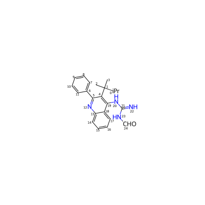 CC(C)C(C)(C)c1c(-c2ccccc2)nc2ccccc2c1NC(=N)NC=O